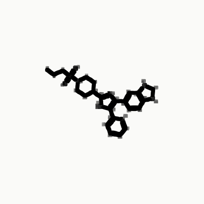 CCCS(=O)(=O)N1CCC(c2nc(-c3ccc4c(c3)OCO4)c(-c3ccccn3)[nH]2)CC1